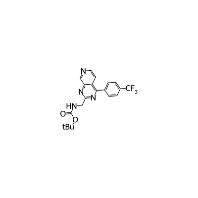 CC(C)(C)OC(=O)NCc1nc(-c2ccc(C(F)(F)F)cc2)c2ccncc2n1